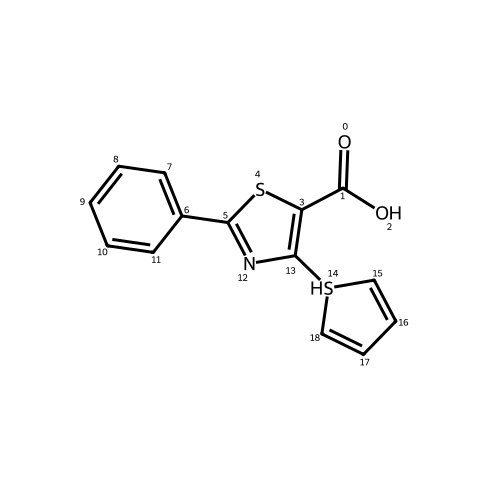 O=C(O)c1sc(-c2ccccc2)nc1[SH]1C=CC=C1